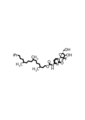 CC(C)CCCC(C)CCCC(C)CCCC(C)CCOC(=O)Nc1ccn([C@@H]2O[C@H](CO)[C@@H](O)C2(F)F)c(=O)n1